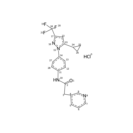 Cl.O=C(Cc1cccnc1)Nc1ccc(-n2nc(C(F)(F)F)cc2C2CC2)cc1